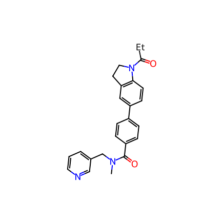 CCC(=O)N1CCc2cc(-c3ccc(C(=O)N(C)Cc4cccnc4)cc3)ccc21